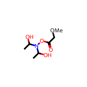 COCC(=O)ON(C(C)O)C(C)O